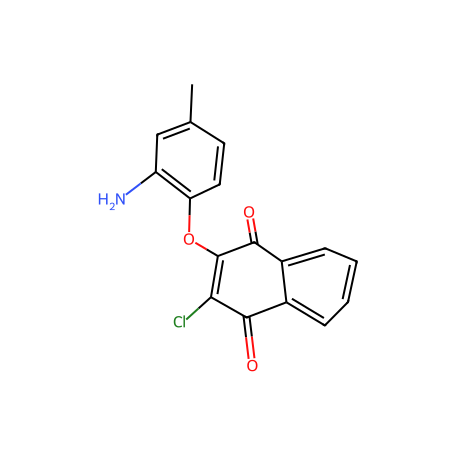 Cc1ccc(OC2=C(Cl)C(=O)c3ccccc3C2=O)c(N)c1